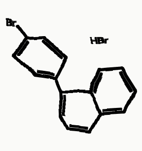 Br.Brc1ccc(-c2cccc3ccccc23)cc1